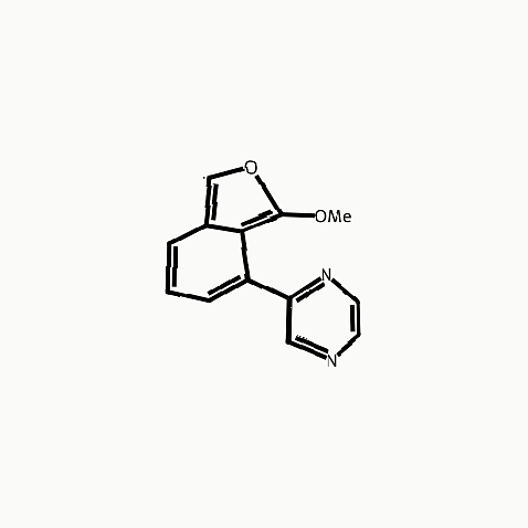 COc1o[c]c2cccc(-c3cnccn3)c12